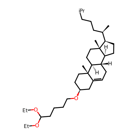 CCOC(CCCCO[C@H]1CC[C@@]2(C)C(=CC[C@H]3[C@@H]4CC[C@H]([C@H](C)CCCC(C)C)[C@@]4(C)CC[C@@H]32)C1)OCC